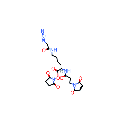 [N-]=[N+]=NCC(=O)NCCCC[C@H](NC(=O)CCN1C(=O)C=CC1=O)C(=O)ON1C(=O)CCC1=O